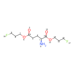 N[C@@H](CCC(=O)OCCCF)C(=O)OCCCF